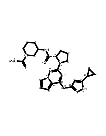 COC(=O)N1CCCC(NC(=O)[C@@H]2CCCN2c2nc(Nc3cc(C4CC4)[nH]n3)c3cccn3n2)C1